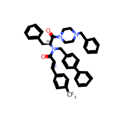 O=C([C@H](Cc1ccccc1)N(Cc1ccc(-c2ccccc2)cc1)C(=O)/C=C/c1ccc(C(F)(F)F)cc1)N1CCN(Cc2ccccc2)CC1